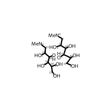 CNCC(O)C(O)C(O)C(O)CO.CNCC(O)C(O)C(O)C(O)CO